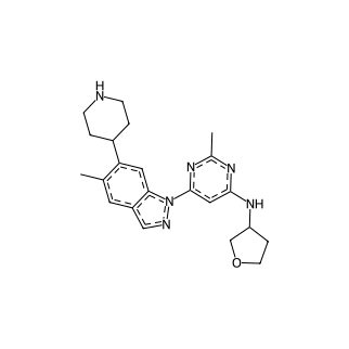 Cc1nc(NC2CCOC2)cc(-n2ncc3cc(C)c(C4CCNCC4)cc32)n1